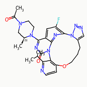 CC(=O)N1CCN(c2nc(=O)n3c4nc(c(F)cc24)-n2nncc2CCCOc2ccnc(C(C)C)c2-3)[C@@H](C)C1